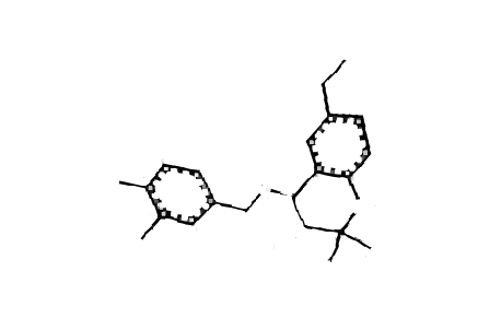 CCc1ccc2c(c1)[C@H](NCc1ccc(F)c(Br)c1)[C@@H](O)C(C)(C)O2